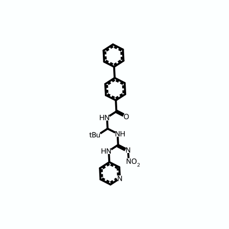 CC(C)(C)C(NC(=O)c1ccc(-c2ccccc2)cc1)N/C(=N/[N+](=O)[O-])Nc1cccnc1